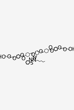 CCCCCCN(/N=C/C1CC(OCC2CCC(C(=O)Oc3ccc(OCCOCCO)cc3)CC2)=CC=C1OCC1CCC(C(=O)Oc2ccc(OCCOCCO)cc2)CC1)c1nc2ccccc2s1